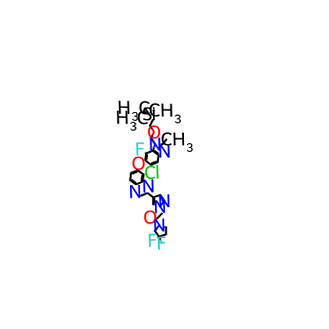 Cc1nc2ccc(Oc3ccc4ncc(-c5cnn(CC(=O)N6CCC(F)(F)C6)c5)nc4c3Cl)c(F)c2n1COCC[Si](C)(C)C